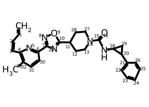 C=C/C=C\c1nc(-c2noc(C3CCN(C(=O)NC4CC4c4ccccc4)CC3)n2)ccc1C